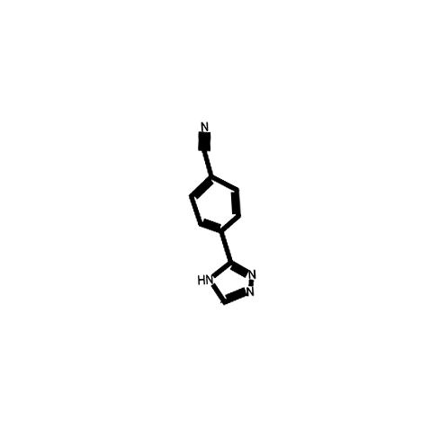 N#Cc1ccc(-c2nn[c][nH]2)cc1